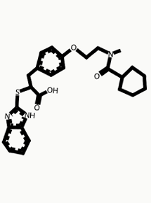 CN(CCOc1ccc(CC(Sc2nc3ccccc3[nH]2)C(=O)O)cc1)C(=O)C1CCCCC1